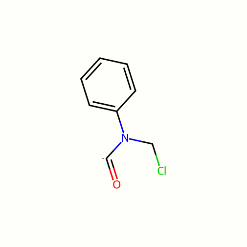 O=[C]N(CCl)c1ccccc1